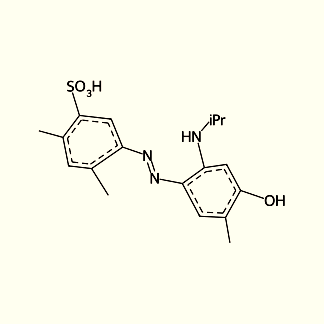 Cc1cc(/N=N/c2cc(S(=O)(=O)O)c(C)cc2C)c(NC(C)C)cc1O